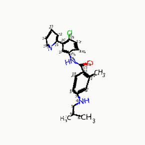 Cc1cc(NCC(C)C)ccc1C(=O)Nc1ccc(Cl)c(-c2ccccn2)c1